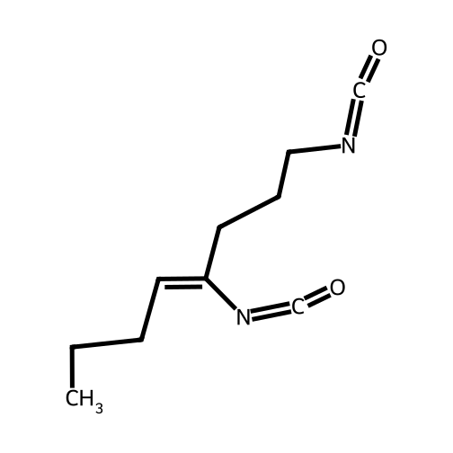 CCCC=C(CCCN=C=O)N=C=O